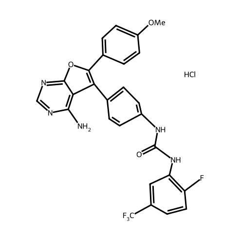 COc1ccc(-c2oc3ncnc(N)c3c2-c2ccc(NC(=O)Nc3cc(C(F)(F)F)ccc3F)cc2)cc1.Cl